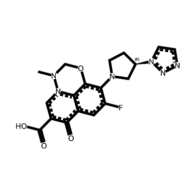 CN1COc2c(N3CC[C@@H](n4ccnn4)C3)c(F)cc3c(=O)c(C(=O)O)cn1c23